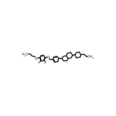 CCCCOc1ccc(OCC2=CCC(C3CCC4CC(C5CCC(CCC)CC5)CCC4C3)C=C2)c(F)c1F